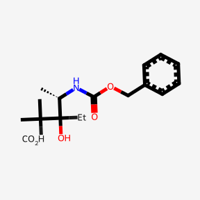 CCC(O)([C@H](C)NC(=O)OCc1ccccc1)C(C)(C)C(=O)O